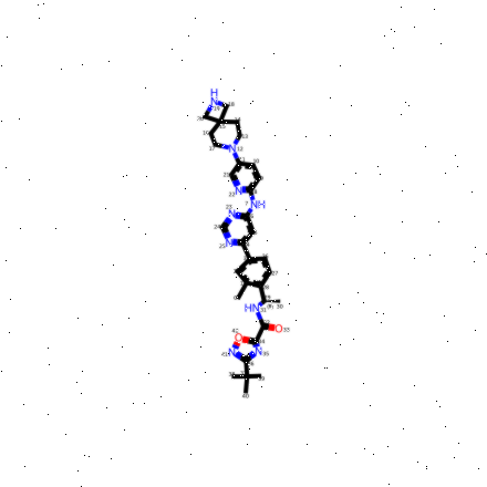 Cc1cc(-c2cc(Nc3ccc(N4CCC5(CC4)CNC5)cn3)ncn2)ccc1[C@@H](C)NC(=O)c1nc(C(C)(C)C)no1